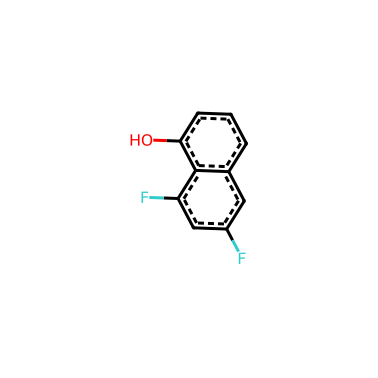 Oc1cccc2cc(F)cc(F)c12